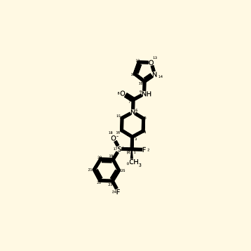 C[C@](F)(C1CCN(C(=O)Nc2ccon2)CC1)[S+]([O-])c1cccc(F)c1